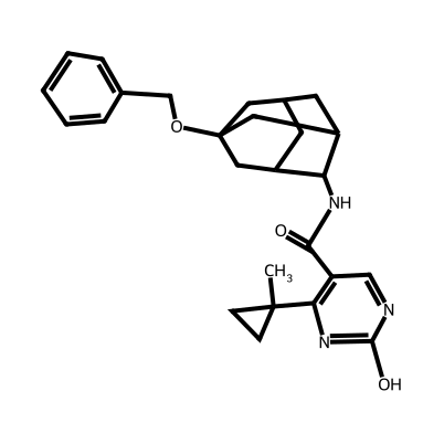 CC1(c2nc(O)ncc2C(=O)NC2C3CC4CC2CC(OCc2ccccc2)(C4)C3)CC1